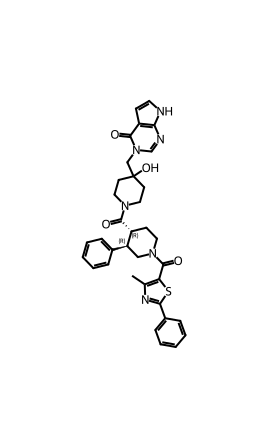 Cc1nc(-c2ccccc2)sc1C(=O)N1CC[C@@H](C(=O)N2CCC(O)(Cn3cnc4[nH]ccc4c3=O)CC2)[C@H](c2ccccc2)C1